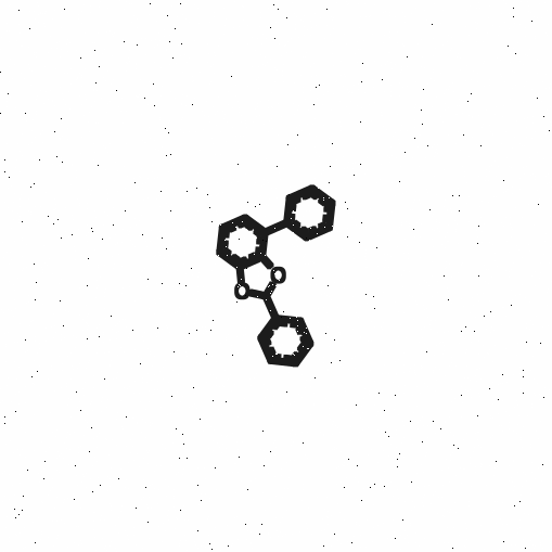 c1ccc(-c2cccc3c2OC(c2ccccc2)O3)cc1